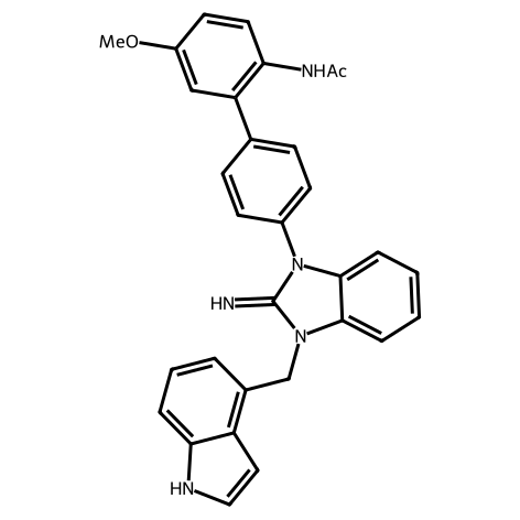 COc1ccc(NC(C)=O)c(-c2ccc(-n3c(=N)n(Cc4cccc5[nH]ccc45)c4ccccc43)cc2)c1